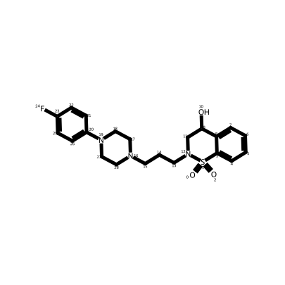 O=S1(=O)c2ccccc2C(O)CN1CCCN1CCN(c2ccc(F)cc2)CC1